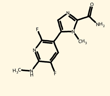 CNc1nc(F)c(-c2cnc(C(N)=O)n2C)cc1F